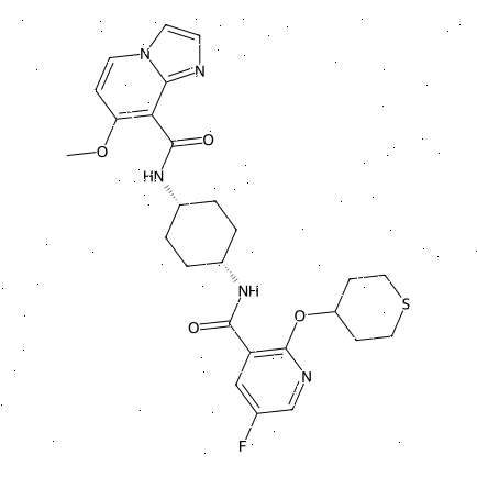 COc1ccn2ccnc2c1C(=O)N[C@H]1CC[C@@H](NC(=O)c2cc(F)cnc2OC2CCSCC2)CC1